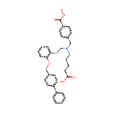 COC(=O)c1ccc(CN(CCCCC(=O)O)CCc2ccccc2OCc2ccc(-c3ccccc3)cc2)cc1